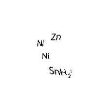 [Ni].[Ni].[SnH2].[Zn]